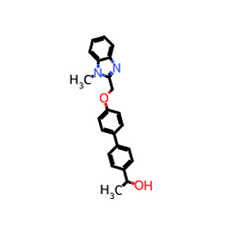 CC(O)c1ccc(-c2ccc(OCc3nc4ccccc4n3C)cc2)cc1